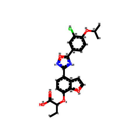 CCC(Oc1ccc(-c2noc(-c3ccc(OC(C)C)c(Cl)c3)n2)c2ccoc12)C(=O)O